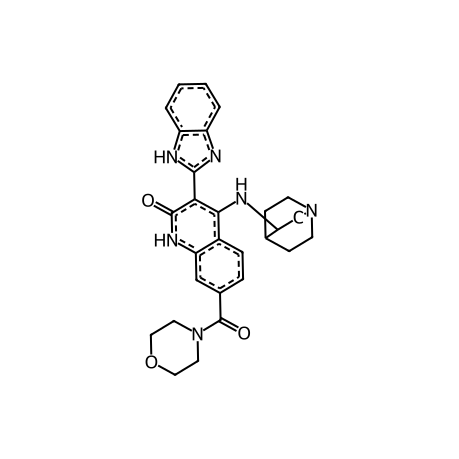 O=C(c1ccc2c(NC3CN4CCC3CC4)c(-c3nc4ccccc4[nH]3)c(=O)[nH]c2c1)N1CCOCC1